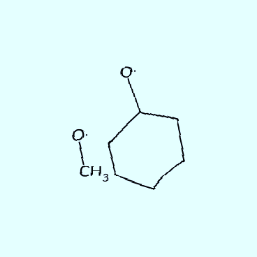 C[O].[O]C1CCCCC1